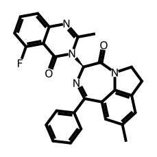 Cc1cc2c3c(c1)C(c1ccccc1)=N[C@@H](n1c(C)nc4cccc(F)c4c1=O)C(=O)N3CC2